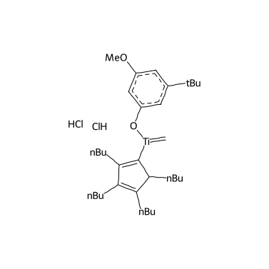 Cl.Cl.[CH2]=[Ti]([O]c1cc(OC)cc(C(C)(C)C)c1)[C]1=C(CCCC)C(CCCC)=C(CCCC)C1CCCC